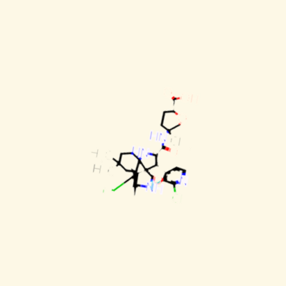 CC1(C)CCC2(CC1)N[C@@H](C(=O)NC1(C)CC[C@@H](C(=O)O)OC1)[C@H](c1ccnc(Cl)c1F)[C@]21C(=O)Nc2cc(Cl)ccc21